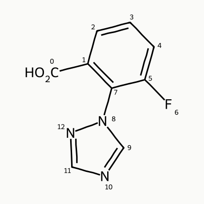 O=C(O)c1cccc(F)c1-n1cncn1